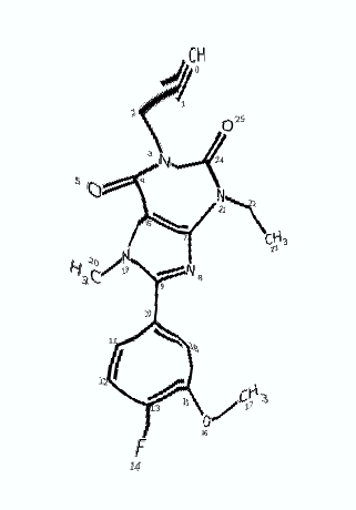 C#CCn1c(=O)c2c(nc(-c3ccc(F)c(OC)c3)n2C)n(CC)c1=O